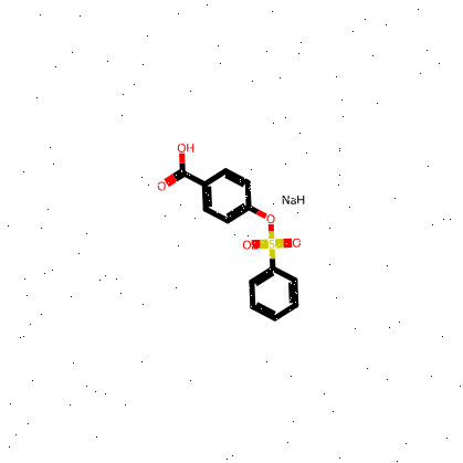 O=C(O)c1ccc(OS(=O)(=O)c2ccccc2)cc1.[NaH]